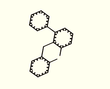 c1ccc(-c2cccc3c2Cc2ccccc2O3)cc1